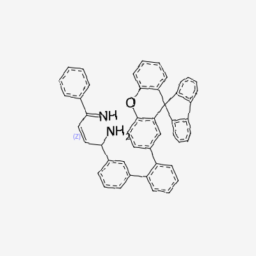 N=C(/C=C\C(N)c1cccc(-c2ccccc2-c2ccc3c(c2)C2(c4ccccc4O3)c3ccccc3-c3ccccc32)c1)c1ccccc1